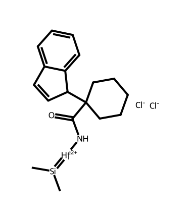 C[Si](C)=[Hf+2][NH]C(=O)C1(C2C=Cc3ccccc32)CCCCC1.[Cl-].[Cl-]